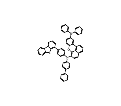 c1ccc(-c2ccc(N(c3ccc(-c4cccc5c4sc4ccccc45)cc3)c3ccc4cccc5c4c3Oc3ccc(N(c4ccccc4)c4ccccc4)cc3-5)cc2)cc1